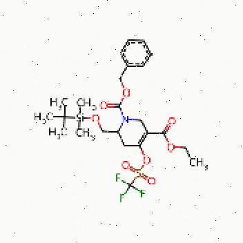 CCOC(=O)C1=C(OS(=O)(=O)C(F)(F)F)CC(CO[Si](C)(C)C(C)(C)C)N(C(=O)OCc2ccccc2)C1